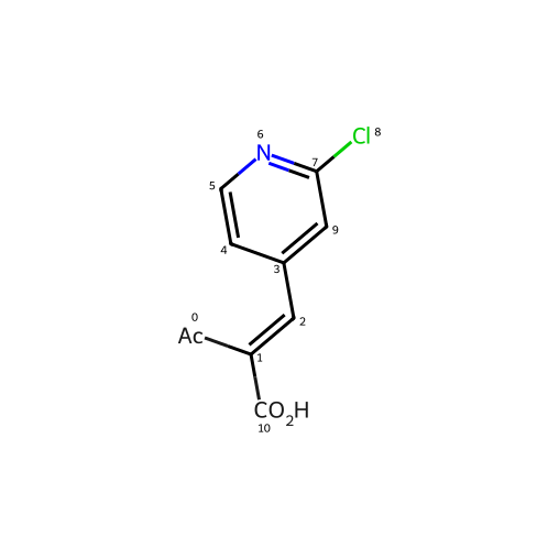 CC(=O)/C(=C\c1ccnc(Cl)c1)C(=O)O